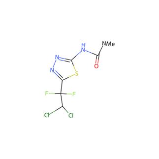 CNC(=O)Nc1nnc(C(F)(F)C(Cl)Cl)s1